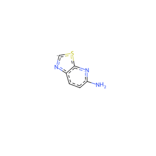 Nc1ccc2n[c]sc2n1